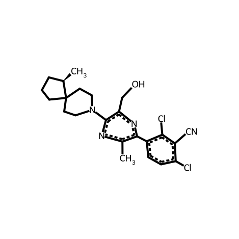 Cc1nc(N2CCC3(CCC[C@H]3C)CC2)c(CO)nc1-c1ccc(Cl)c(C#N)c1Cl